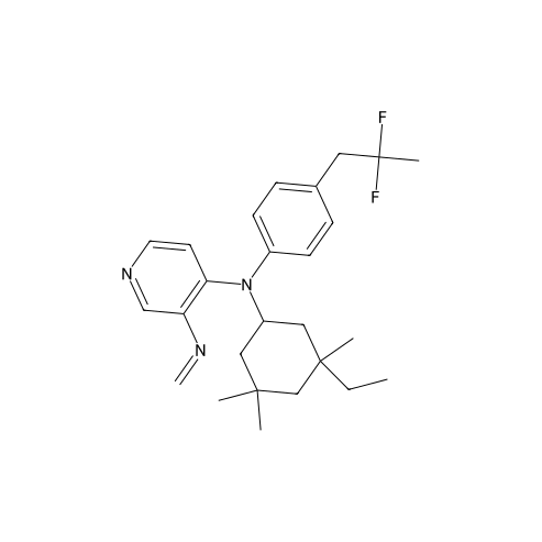 C=Nc1cnccc1N(c1ccc(CC(C)(F)F)cc1)C1CC(C)(C)CC(C)(CC)C1